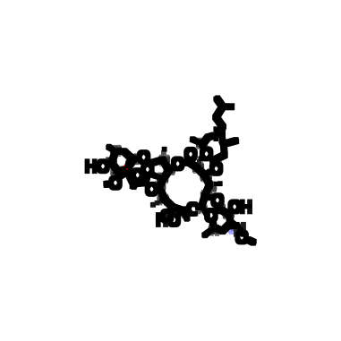 CO/N=C1\C[C@@H](C)O[C@@H](O[C@@H]2[C@@H](C)[C@H](O[C@H]3CC(C)N(CCC(C)C)C[C@H](C)O3)[C@@H](C)C(=O)O[C@H]([C@@H](C)CO[C@@H]3C[C@H](C)[C@@H](O)[C@@H](OC)[C@H]3OC)[C@H](C)[C@@H](OC(=O)CC(C)C)[C@@H](C)C(=O)[C@@](C)(O)C[C@@H]2C)[C@@H]1O